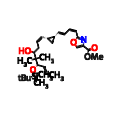 C/C=C/[C@H](O[Si](C)(C)C(C)(C)C)C(C)(C)[C@@H](O)C/C=C\[C@H]1C[C@H]1/C=C/C=C\c1nc(C(=O)OC)co1